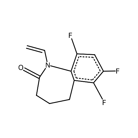 C=CN1C(=O)CCCc2c(F)c(F)cc(F)c21